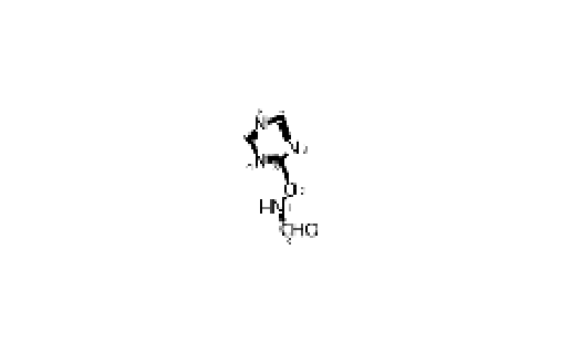 O=CNOc1ncncn1